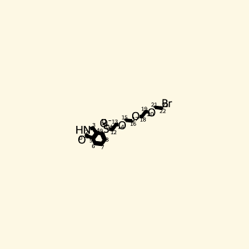 O=C1NCc2c1cccc2[S+]([O-])CCOCCOCCOCCBr